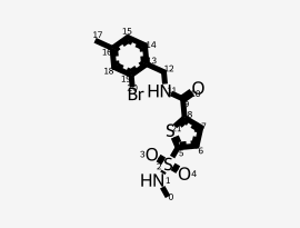 CNS(=O)(=O)c1ccc(C(=O)NCc2ccc(C)cc2Br)s1